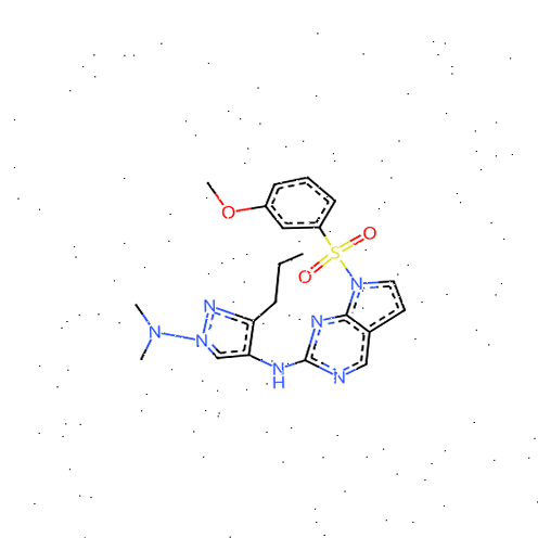 CCCc1nn(N(C)C)cc1Nc1ncc2ccn(S(=O)(=O)c3cccc(OC)c3)c2n1